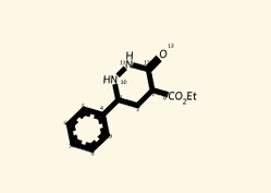 CCOC(=O)C1CC(c2ccccc2)NNC1=O